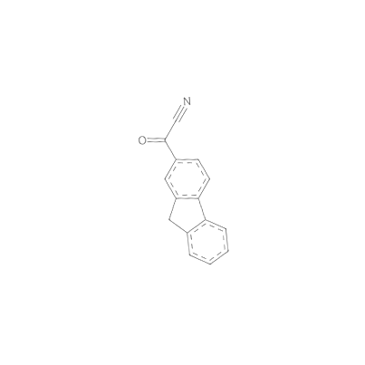 N#CC(=O)c1ccc2c(c1)Cc1ccccc1-2